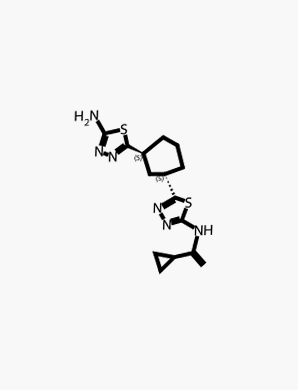 C=C(Nc1nnc([C@H]2CCC[C@H](c3nnc(N)s3)C2)s1)C1CC1